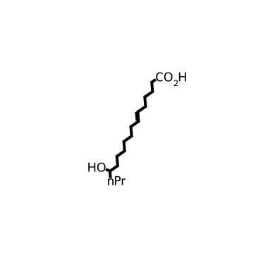 CCCC(O)CCCCCCC=CCCCCC(=O)O